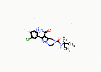 CC(C)(C)NC(=O)N1CCn2nc(-c3ccc(F)c(Cl)c3)c(C(N)=O)c2C1